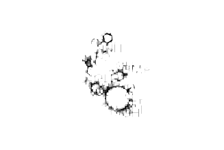 CC[C@H]1OC(=O)[C@H](C)[C@@H](C2C[C@@](C)(OC)[C@@H](O)[C@H](C)O2)[C@H](C)[C@@H](O[C@@H]2O[C@H](C)C[C@H](N(C)CCc3cn(CCn4c(=O)[nH]c5ccccc5c4=O)nn3)[C@H]2O)[C@](C)(O)C[C@@H](C)CN(C)[C@H](C)[C@@H](O)[C@]1(C)O